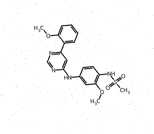 COc1cc(Nc2cc(-c3ccccc3OC)ncn2)ccc1NS(C)(=O)=O